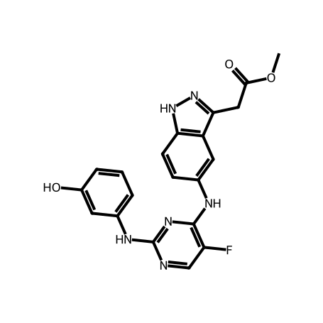 COC(=O)Cc1n[nH]c2ccc(Nc3nc(Nc4cccc(O)c4)ncc3F)cc12